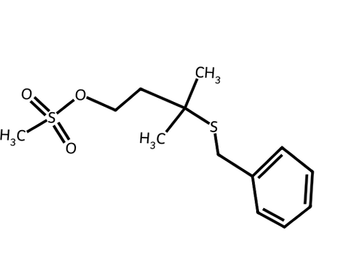 CC(C)(CCOS(C)(=O)=O)SCc1ccccc1